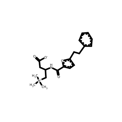 C[N+](C)(C)CC(CC(=O)[O-])NC(=O)c1ccc(CCc2ccccc2)o1